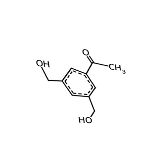 CC(=O)c1cc(CO)cc(CO)c1